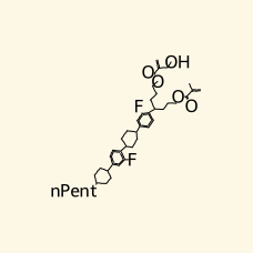 C=C(C)C(=O)OCCCC(CCCOC(=O)C(=C)CO)c1ccc(C2CCC(c3ccc(C4CCC(CCCCC)CC4)cc3F)CC2)cc1F